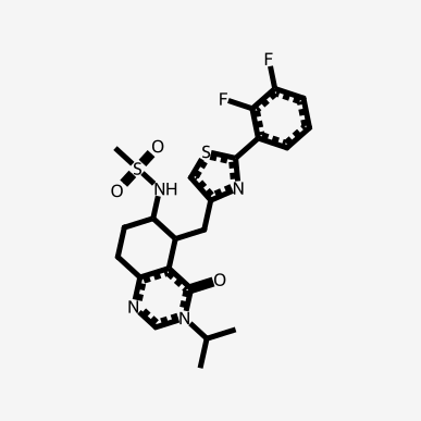 CC(C)n1cnc2c(c1=O)C(Cc1csc(-c3cccc(F)c3F)n1)C(NS(C)(=O)=O)CC2